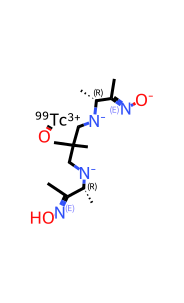 C/C(=N\[O-])[C@@H](C)[N-]CC(C)(C)C[N-][C@H](C)/C(C)=N/O.[O]=[99Tc+3]